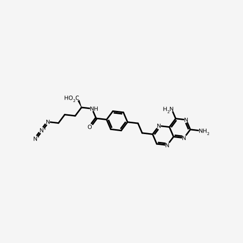 [N-]=[N+]=NCCC[C@H](NC(=O)c1ccc(CCc2cnc3nc(N)nc(N)c3n2)cc1)C(=O)O